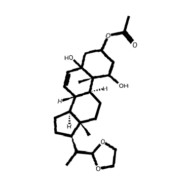 CC(=O)OC1CC(O)[C@]2(C)[C@H]3CC[C@]4(C)[C@@H](C(C)C5OCCO5)CC[C@H]4[C@@H]3C=CC2(O)C1